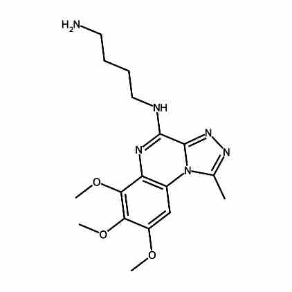 COc1cc2c(nc(NCCCCN)c3nnc(C)n32)c(OC)c1OC